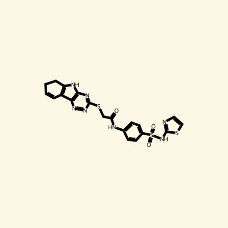 O=C(CSc1nnc2c3c([nH]c2n1)CCC=C3)Nc1ccc(S(=O)(=O)Nc2nccs2)cc1